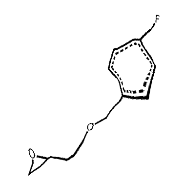 Fc1ccc(COCC2CO2)cc1